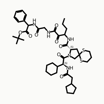 CCCC(NC(=O)[C@@H]1CC2(CN1C(=O)[C@@H](NC(=O)CC1CCCC1)C1CCCCC1)SCCCS2)C(=O)C(=O)NCC(=O)NC(C(=O)OC(C)(C)C)c1ccccc1